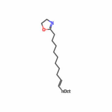 CCCCCCCCC=CCCCCCCCCC1=NCCO1